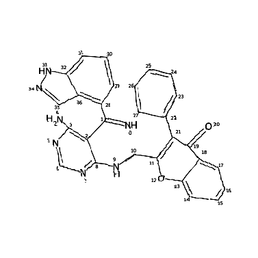 N=C(c1c(N)ncnc1NCc1oc2ccccc2c(=O)c1-c1ccccc1)c1cccc2[nH]ncc12